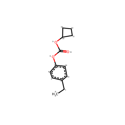 CCc1ccc(OC(=O)OC2CCC2)cc1